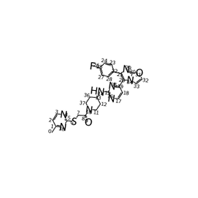 Cc1ccnc(SCC(=O)N2CCC(Nc3nccc(-c4c(-c5ccc(F)cc5)nc5occn45)n3)CC2)n1